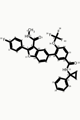 CNC(=O)c1c(-c2ccc(F)cc2)oc2ccc(-c3cc(C(=O)NC4(c5ccccc5)CC4)ccc3OC(F)(F)F)cc12